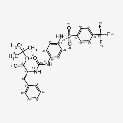 CC(C)(C)OC(=O)[C@H](Cc1ccccc1)NC(=O)Nc1ccc(NS(=O)(=O)c2ccc(C(F)(F)F)cc2)cc1